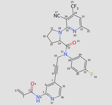 C=CC(=O)Nc1cc(C#CCN(C(=O)C2CCCN2c2nc(C)cc(C(F)(F)F)c2C#N)c2ccc(F)cc2)ccn1